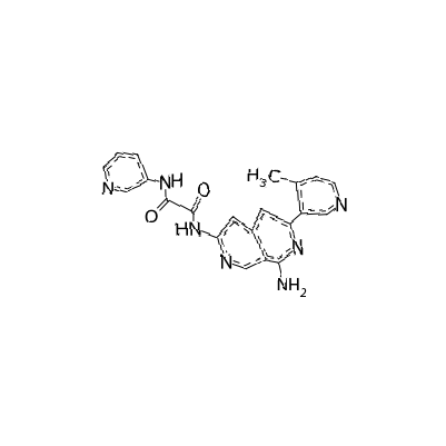 Cc1ccncc1-c1cc2cc(NC(=O)C(=O)Nc3cccnc3)ncc2c(N)n1